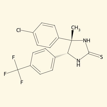 C[C@@]1(c2ccc(Cl)cc2)NC(=S)N[C@@H]1c1ccc(C(F)(F)F)cc1